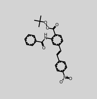 CC(C)(C)OOC(=O)c1ccc(/C=C/c2ccc([N+](=O)[O-])cc2)cc1NC(=O)c1ccccc1